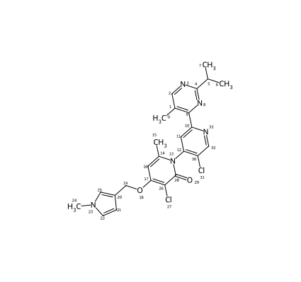 Cc1cnc(C(C)C)nc1-c1cc(-n2c(C)cc(OCc3ccn(C)c3)c(Cl)c2=O)c(Cl)cn1